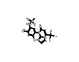 CS(=O)(=O)Nc1cc(-n2c(=O)cc(C(F)(F)F)n3ccnc23)c(F)cc1Cl